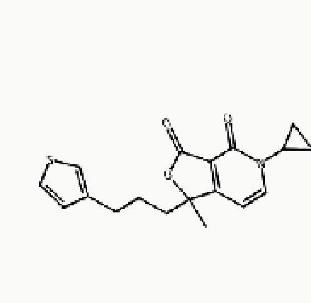 CC1(CCCc2ccsc2)OC(=O)c2c1ccn(C1CC1)c2=O